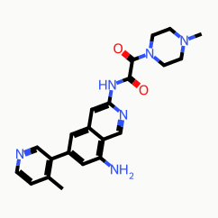 Cc1ccncc1-c1cc(N)c2cnc(NC(=O)C(=O)N3CCN(C)CC3)cc2c1